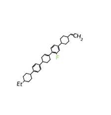 C=CC1CCC(c2ccc(C3=CCC(c4ccc(C5CCC(CC)CC5)cc4)CC3)c(F)c2)CC1